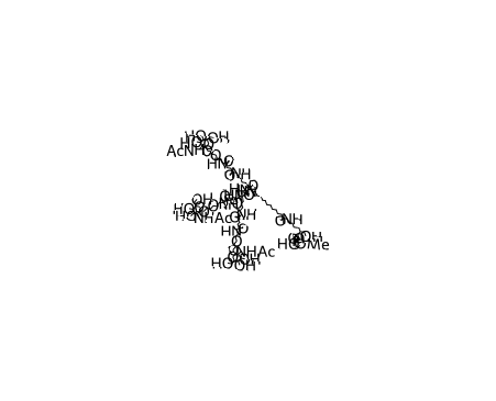 COP(=O)(O)OCC(CO)CCCCNC(=O)CCCCCCCCCCCNC(=O)[C@H](CCCCNC(=O)CCC(=O)NCCOCCOC1OC(CO)C(O)C(O)C1NC(C)=O)NC(=O)[C@H](CCCCNC(=O)CCC(=O)NCCOCCOC1OC(CO)C(O)C(O)C1NC(C)=O)NC(=O)CCC(=O)NCCOCCOC1OC(CO)C(O)C(O)C1NC(C)=O